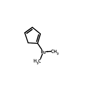 [CH3][Ru]([CH3])[C]1=CC=CC1